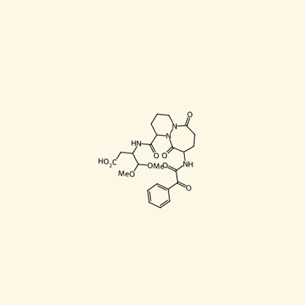 COC(OC)C(CC(=O)O)NC(=O)C1CCCN2C(=O)CCC(NC(=O)C(=O)c3ccccc3)C(=O)N12